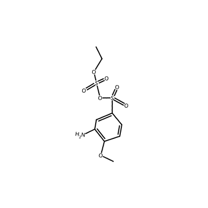 CCOS(=O)(=O)OS(=O)(=O)c1ccc(OC)c(N)c1